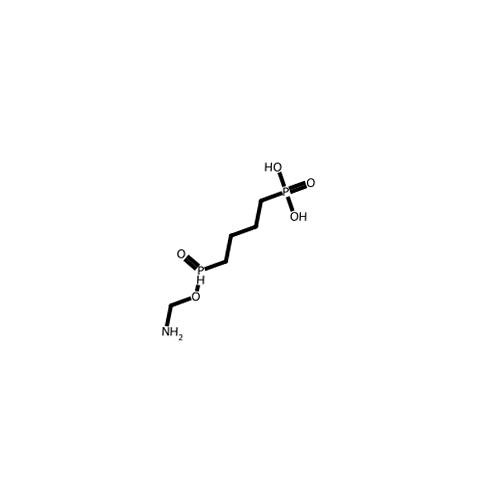 NCO[PH](=O)CCCCP(=O)(O)O